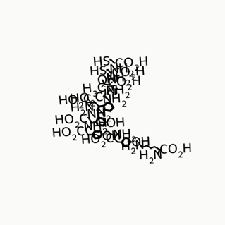 CC(C)[C@H](N)C(=O)O.C[C@@H](O)[C@H](N)C(=O)O.NCCCC[C@H](N)C(=O)O.N[C@@H](CS)C(=O)O.N[C@@H](CS)C(=O)O.N[C@@H](Cc1ccc(O)cc1)C(=O)O.N[C@@H](Cc1ccc(O)cc1)C(=O)O.N[C@H](Cc1c[nH]c2ccccc12)C(=O)O.N[C@H](Cc1ccc(O)cc1)C(=O)O